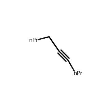 [CH2]CCCC#CCCC